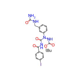 CC(C)(C)OC(=O)NN(C(=O)NC(=O)c1ccc(I)cc1)c1cccc(CNC(N)=O)c1